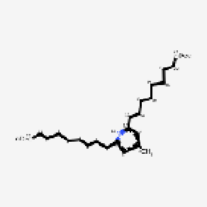 [CH2]c1cc(CCCCCCCCCCCCCCCCCC)nc(CCCCCCCCCCCCCCCCCC)c1